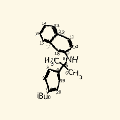 CC[C@H](C)c1ccc(C(C)(C)Nc2ccc3ccccc3c2)cc1